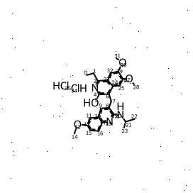 CCc1nc(O)c(Cc2cc3cc(OC)ccc3nc2NC(C)C)c2cc(OC)c(OC)cc12.Cl.Cl